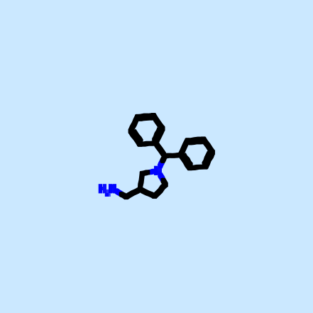 NCC1CCN(C(c2ccccc2)c2ccccc2)C1